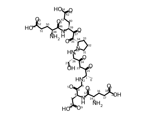 C[C@H](NCC(=O)[C@H](CC(=O)O)NC(=O)[C@@H](N)CCC(=O)O)C(=O)CC(=O)[C@H](CO)NN1CCC[C@H]1C(=O)C(=O)[C@H](CCC(=O)O)NC(=O)[C@@H](N)CCC(=O)O